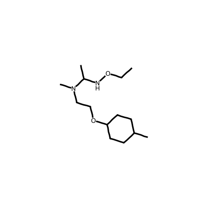 CCONC(C)N(C)CCOC1CCC(C)CC1